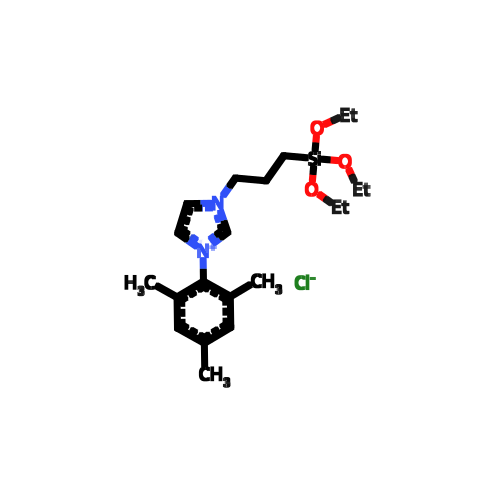 CCO[Si](CCCn1cc[n+](-c2c(C)cc(C)cc2C)c1)(OCC)OCC.[Cl-]